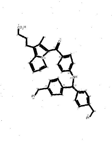 Cc1c(CCCC(=O)O)c2ccccn2c1C(=O)c1ccc(NC(c2ccc(CC(C)C)cc2)c2ccc(CC(C)C)cc2)cc1